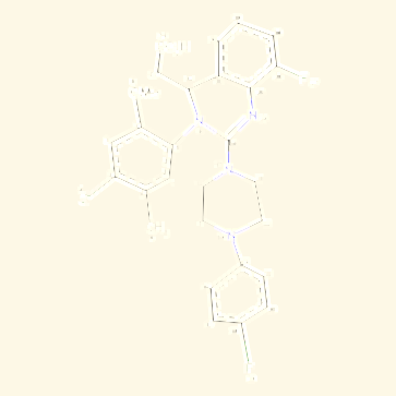 COc1cc(Cl)c(C)cc1N1C(N2CCN(c3ccc(F)cc3)CC2)=Nc2c(F)cccc2C1CC(=O)O